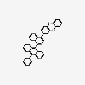 c1ccc(-c2c3ccccc3c(-c3ccc(-c4ccc5c(c4)Oc4ccccc4O5)c4ccccc34)c3ccccc23)cc1